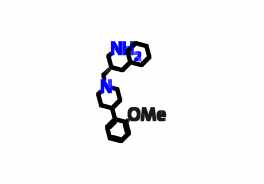 COc1ccccc1C1CCN(C[C@@H](CN)CC2CCCCC2)CC1